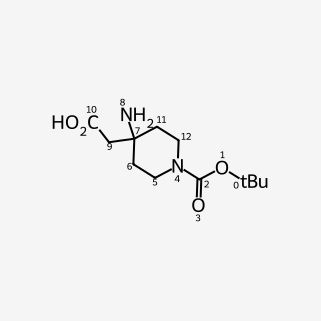 CC(C)(C)OC(=O)N1CCC(N)(CC(=O)O)CC1